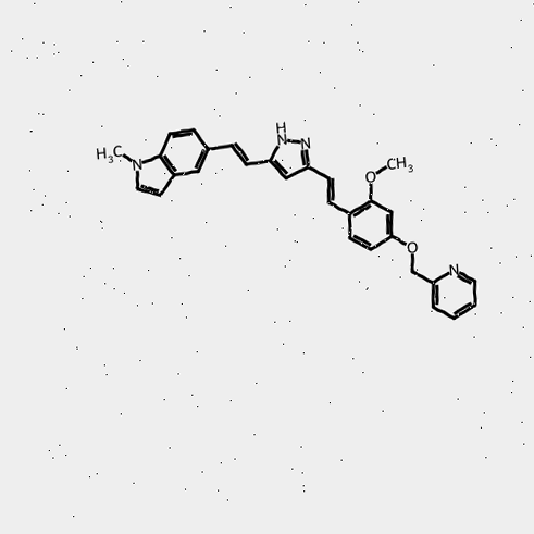 COc1cc(OCc2ccccn2)ccc1C=Cc1cc(C=Cc2ccc3c(ccn3C)c2)[nH]n1